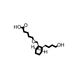 O=C(O)CCCCOC[C@H]1[C@@H](CCCCO)[C@H]2CC[C@@H]1O2